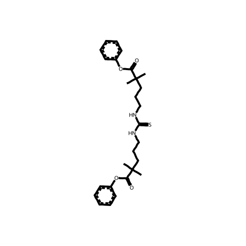 CC(C)(CCCNC(=S)NCCCC(C)(C)C(=O)Oc1ccccc1)C(=O)Oc1ccccc1